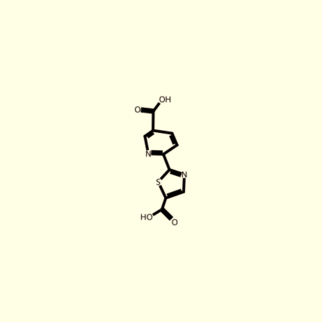 O=C(O)c1ccc(-c2ncc(C(=O)O)s2)nc1